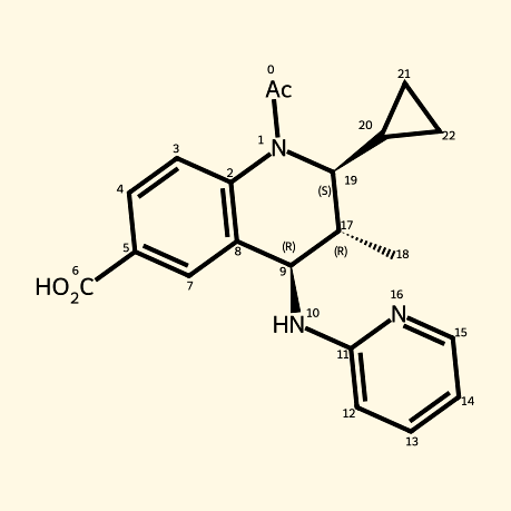 CC(=O)N1c2ccc(C(=O)O)cc2[C@H](Nc2ccccn2)[C@@H](C)[C@@H]1C1CC1